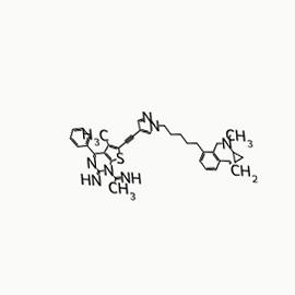 C=Cc1cccc(CCCCCn2cc(C#Cc3sc4c(c(-c5ccccc5)nc(=N)n4C(C)=N)c3C)cn2)c1CN(C)C1CC1